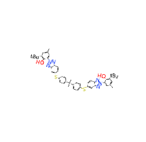 Cc1cc(-n2nc3ccc(Sc4ccc(C(C)(C)c5ccc(Sc6ccc7nn(-c8cc(C)cc(C(C)(C)C)c8O)nc7c6)cc5)cc4)cc3n2)c(O)c(C(C)(C)C)c1